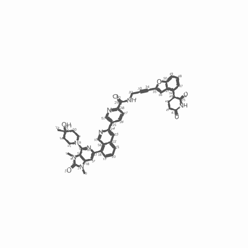 Cn1c(=O)n(C)c2c(N3CCC(C)(O)CC3)nc(-c3cccc4cc(-c5ccc(C(=O)NCC#Cc6cc7c(C8CCC(=O)NC8=O)cccc7o6)nc5)ncc34)cc21